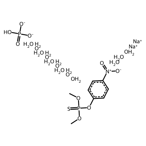 COP(=S)(OC)Oc1ccc([N+](=O)[O-])cc1.O.O.O.O.O.O.O.O.O.O.O.O.O=P([O-])([O-])O.[Na+].[Na+]